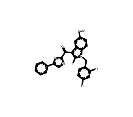 COc1ccc2c(c1)c(C(=O)c1ncc(-c3ccccc3)o1)c(Cl)n2Cc1ccc(Cl)cc1Cl